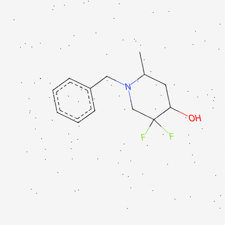 CC1CC(O)C(F)(F)CN1Cc1ccccc1